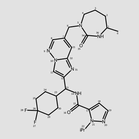 CC1CCCN(Cc2cnn3cc(C(NC(=O)c4ccnn4C(C)C)C4CCC(F)(F)CC4)nc3c2)C(=O)N1